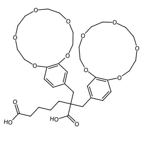 O=C(O)CCCCC(Cc1ccc2c(c1)OCCOCCOCCOCCO2)(Cc1ccc2c(c1)OCCOCCOCCOCCO2)C(=O)O